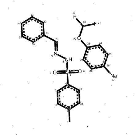 Cc1ccc(S(=O)(=O)NN=Cc2ccccc2)cc1.FC(F)Oc1cc[c]([Na])cc1